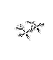 CCCCCP(=O)(O)O.CCCCCP(=O)(O)O.[Zn]